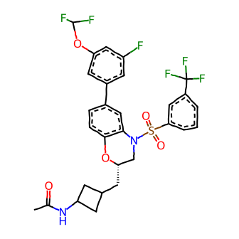 CC(=O)NC1CC(C[C@H]2CN(S(=O)(=O)c3cccc(C(F)(F)F)c3)c3cc(-c4cc(F)cc(OC(F)F)c4)ccc3O2)C1